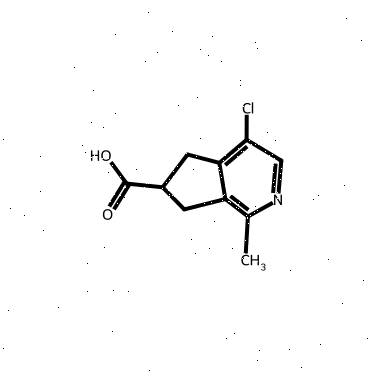 Cc1ncc(Cl)c2c1CC(C(=O)O)C2